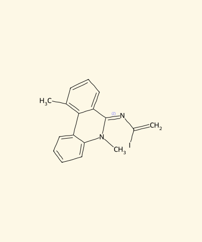 C=C(I)/N=c1/c2cccc(C)c2c2ccccc2n1C